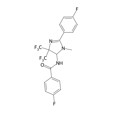 CN1C(c2ccc(F)cc2)=NC(C(F)(F)F)(C(F)(F)F)C1NC(=O)c1ccc(F)cc1